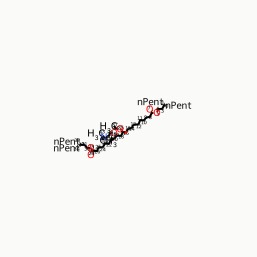 CCCCCC(CCCCC)CCOC(=O)CCCCCCCCCC(CCCCCCCCCC(=O)OCCC(CCCCC)CCCCC)OC(C)OCCN(C)C